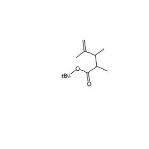 C=C(C)C(C)C(C)C(=O)OC(C)(C)C